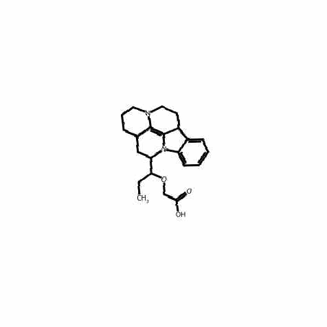 CCC(OCC(=O)O)C1CC2CCCN3CCC4C(=C23)N1c1ccccc14